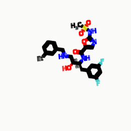 CCc1cccc(CNC[C@H](O)[C@H](Cc2cc(F)cc(F)c2)NC(=O)c2cnc(NS(C)(=O)=O)o2)c1